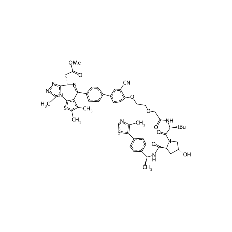 COC(=O)C[C@@H]1N=C(c2ccc(-c3ccc(OCCOCC(=O)N[C@H](C(=O)N4C[C@H](O)C[C@H]4C(=O)N[C@@H](C)c4ccc(-c5scnc5C)cc4)C(C)(C)C)c(C#N)c3)cc2)c2c(sc(C)c2C)-n2c(C)nnc21